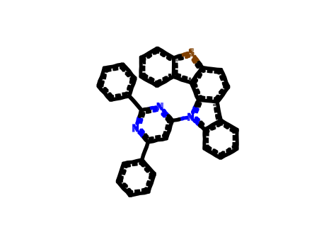 c1ccc(-c2cc(-n3c4ccccc4c4ccc5sc6ccccc6c5c43)nc(-c3ccccc3)n2)cc1